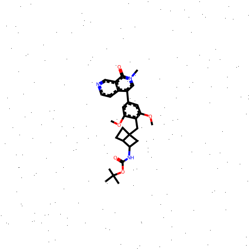 COc1cc(-c2cn(C)c(=O)c3cnccc23)cc(OC)c1CC12CCC1C(NC(=O)OC(C)(C)C)C2